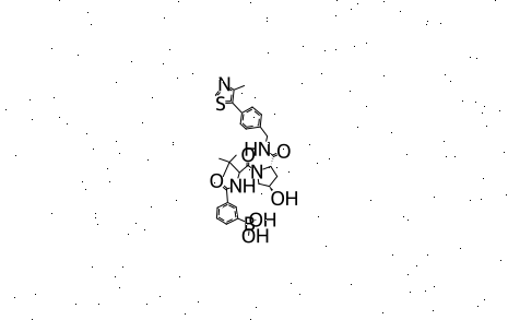 Cc1ncsc1-c1ccc(CNC(=O)[C@@H]2C[C@@H](O)CN2C(=O)C(NC(=O)c2cccc(B(O)O)c2)C(C)(C)C)cc1